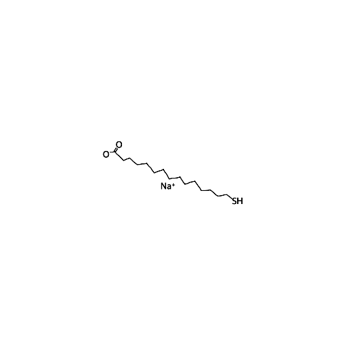 O=C([O-])CCCCCCCCCCCCCCS.[Na+]